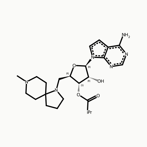 CC(C)C(=O)O[C@H]1[C@@H](O)[C@H](n2ccc3c(N)ncnc32)O[C@@H]1CN1CCCC12CCN(C)CC2